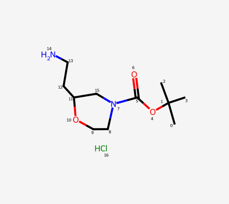 CC(C)(C)OC(=O)N1CCOC(CCN)C1.Cl